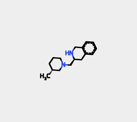 C[C@@H]1CCCN(C[C@@H]2Cc3ccccc3CN2)C1